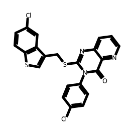 O=c1c2ncccc2nc(SCc2csc3ccc(Cl)cc23)n1-c1ccc(Cl)cc1